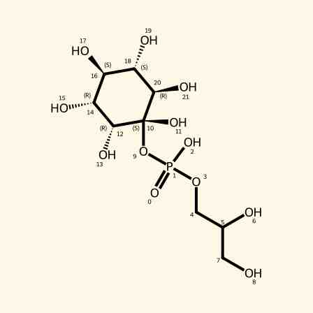 O=P(O)(OCC(O)CO)O[C@]1(O)[C@H](O)[C@H](O)[C@@H](O)[C@H](O)[C@H]1O